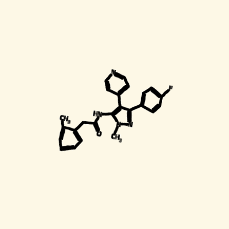 Cc1ccccc1CC(=O)Nc1c(-c2ccncc2)c(-c2ccc(F)cc2)nn1C